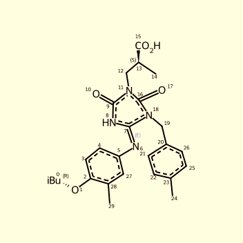 CC[C@@H](C)Oc1ccc(/N=c2\[nH]c(=O)n(C[C@H](C)C(=O)O)c(=O)n2Cc2ccc(C)cc2)cc1C